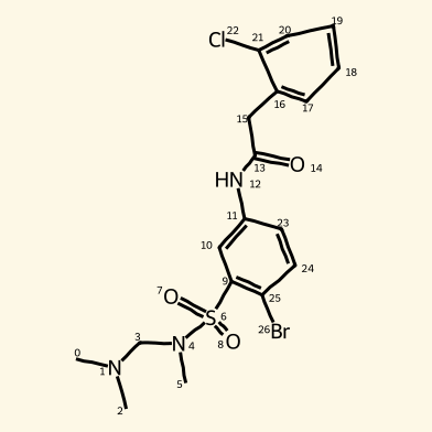 CN(C)CN(C)S(=O)(=O)c1cc(NC(=O)Cc2ccccc2Cl)ccc1Br